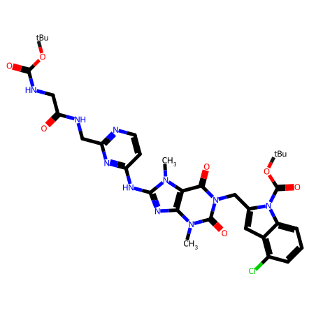 Cn1c(Nc2ccnc(CNC(=O)CNC(=O)OC(C)(C)C)n2)nc2c1c(=O)n(Cc1cc3c(Cl)cccc3n1C(=O)OC(C)(C)C)c(=O)n2C